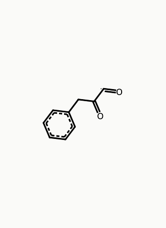 O=[C]C(=O)Cc1ccccc1